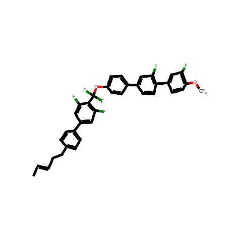 C/C=C/CCc1ccc(-c2cc(F)c(C(F)(F)Oc3ccc(-c4ccc(-c5ccc(OC(F)(F)F)c(F)c5)c(F)c4)cc3)c(F)c2)cc1